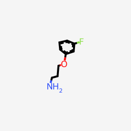 NCCCOc1cccc(F)c1